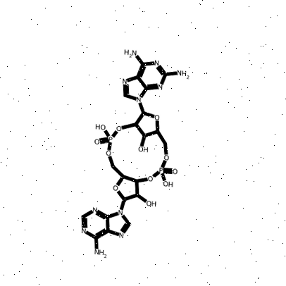 Nc1nc(N)c2ncn(C3OC4COP(=O)(O)OC5C(COP(=O)(O)OC3C4O)OC(n3cnc4c(N)ncnc43)C5O)c2n1